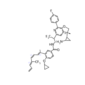 C=C/C=C(/C=C\C=C(/C)c1cc(C(=O)NCC(c2cc3c(c(-c4ccc(F)cc4)n2)OC[C@]3(C)C2CC2N)C(F)(F)F)ccc1OC1CC1)C(F)(F)F